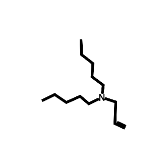 C=CCN(CCCCC)CCCCC